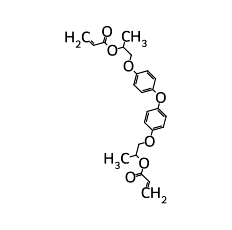 C=CC(=O)OC(C)COc1ccc(Oc2ccc(OCC(C)OC(=O)C=C)cc2)cc1